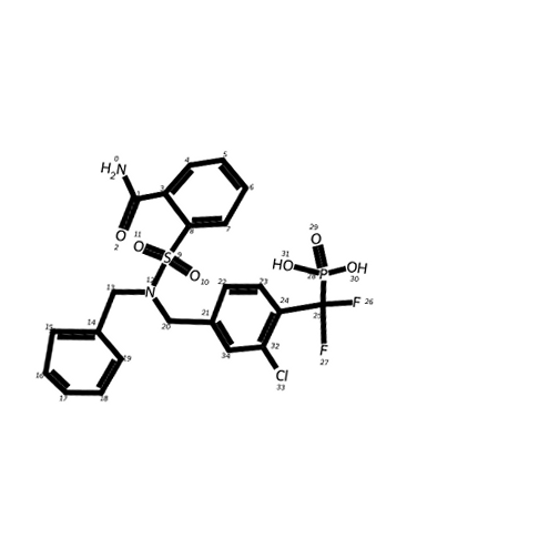 NC(=O)c1ccccc1S(=O)(=O)N(Cc1ccccc1)Cc1ccc(C(F)(F)P(=O)(O)O)c(Cl)c1